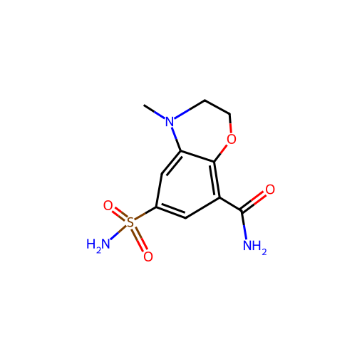 CN1CCOc2c(C(N)=O)cc(S(N)(=O)=O)cc21